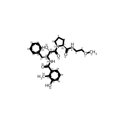 COCCNC(=O)[C@@H]1CCCN1C(=O)[C@@H](O)[C@H](Cc1ccccc1)NC(=O)c1cccc(O)c1C